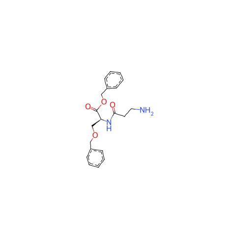 NCCC(=O)N[C@@H](COCc1ccccc1)C(=O)OCc1ccccc1